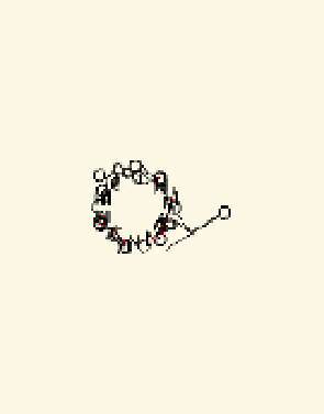 O=C1c2ccc3c4c5ccc(c24)C(=O)N1C1CCCC[C@H]1N1C(=O)c2ccc4c6c(ccc(c26)C1=O)C(=O)N(C4=O)[C@@H]1CCCC[C@H]1N1C(=O)c2ccc4c6ccc7c8c(ccc(c9ccc(c2c49)C1=O)c86)C(=O)N(C7=O)[C@@H]1CCCC[C@H]1N(C3=O)C5=O